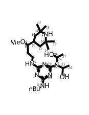 CCCCNc1nc(NCCC(OC)C2CC(C)(C)NC(C)(C)C2)nc(N(C(C)O)C(C)O)n1